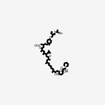 C=C/C(=C\N=C(\C)C(C)CC)COC1CCC(C)(CCC(CC=O)CC(=O)C(C)/C=C(\C)C(CC(=O)C(C)CC(C)/C=C/C=C/C=C(\C)C(CC2CCC[C@](O)(C(=O)C(=O)N3CCCCC3)O2)OC)C2CC2)CC1